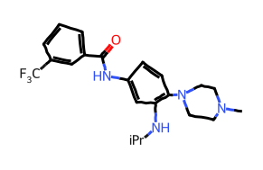 CC(C)Nc1cc(NC(=O)c2cccc(C(F)(F)F)c2)ccc1N1CCN(C)CC1